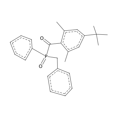 Cc1cc(C(C)(C)C)cc(C)c1C(=O)P(=O)(Cc1ccccc1)c1ccccc1